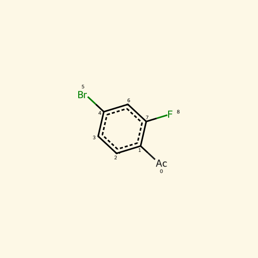 CC(=O)c1[c]cc(Br)cc1F